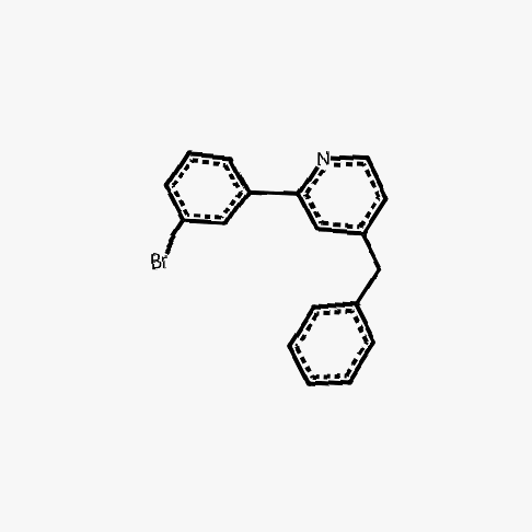 Brc1cccc(-c2cc(Cc3ccccc3)ccn2)c1